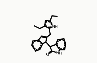 CCc1cc(CC)c(CC2=Cc3ccccc3C2C2C(=O)Nc3ccccc32)[nH]1